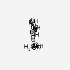 Cn1c(=O)n(C2CCC(=O)NC2=O)c2ccc(CCCOCCOCCNCc3ccc(-n4cc(NC(=O)c5coc(-c6ccnc(NCC7CC7)c6)n5)c(C(F)F)n4)cc3F)cc21